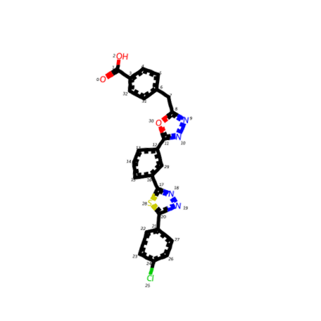 O=C(O)c1ccc(Cc2nnc(-c3cccc(-c4nnc(-c5ccc(Cl)cc5)s4)c3)o2)cc1